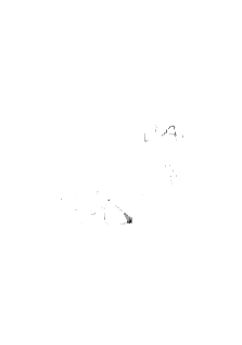 CC(=O)Oc1cccc(OC(=O)O)c1